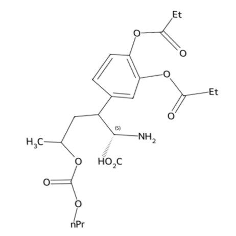 CCCOC(=O)OC(C)CC(c1ccc(OC(=O)CC)c(OC(=O)CC)c1)[C@H](N)C(=O)O